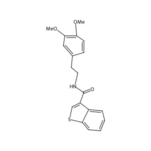 COc1ccc(CCNC(=O)c2csc3ccccc23)cc1OC